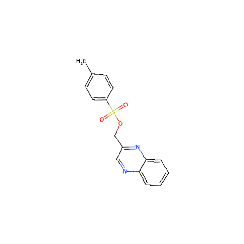 Cc1ccc(S(=O)(=O)OCc2cnc3ccccc3n2)cc1